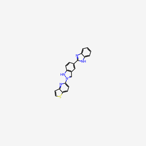 c1ccc2[nH]c(-c3ccc4[nH][n+](-c5ccc6sccc6n5)cc4c3)nc2c1